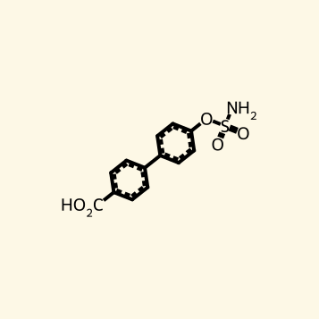 NS(=O)(=O)Oc1ccc(-c2ccc(C(=O)O)cc2)cc1